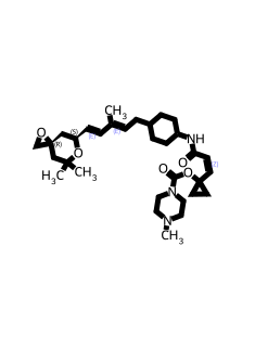 CC(/C=C/[C@@H]1C[C@]2(CO2)CC(C)(C)O1)=C\CC1CCC(NC(=O)/C=C\C2(OC(=O)N3CCN(C)CC3)CC2)CC1